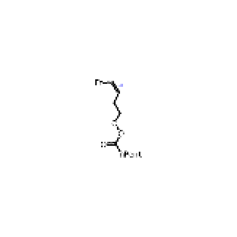 CC/C=C\CCOOC(=O)CCCCC